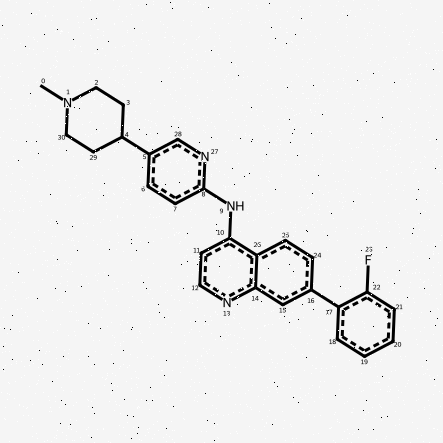 CN1CCC(c2ccc(Nc3ccnc4cc(-c5ccccc5F)ccc34)nc2)CC1